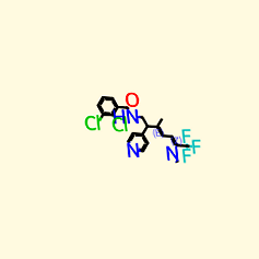 C=N/C(=C\C=C(/C)C(CNC(=O)c1cccc(Cl)c1Cl)c1ccncc1)C(F)(F)F